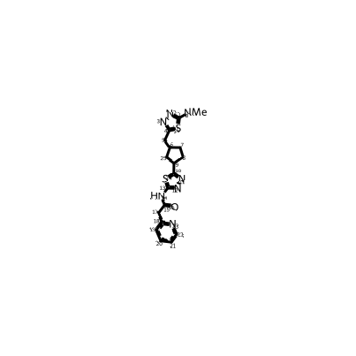 CNc1nnc(CC2CCC(c3nnc(NC(=O)Cc4ccccn4)s3)C2)s1